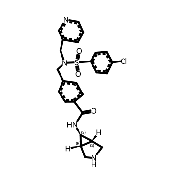 O=C(N[C@H]1[C@@H]2CNC[C@@H]21)c1ccc(CN(Cc2cccnc2)S(=O)(=O)c2ccc(Cl)cc2)cc1